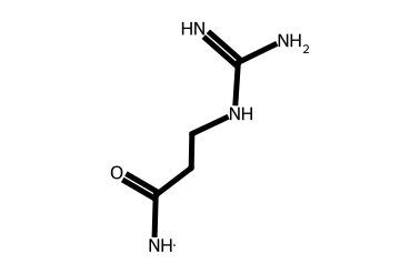 [NH]C(=O)CCNC(=N)N